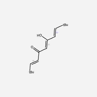 CC(C)(C)/C=C/C(=O)/C=C(O)/C=C/C(C)(C)C